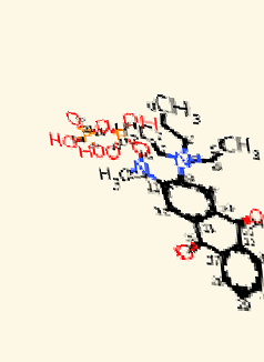 CCC[N+](CC)(CC)c1cc2c(cc1N(C)OP(=O)(O)OP(=O)(O)O)C(=O)c1ccccc1C2=O